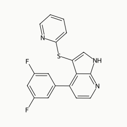 Fc1cc(F)cc(-c2ccnc3[nH]cc(Sc4ccccn4)c23)c1